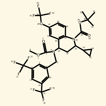 COC(=O)N(Cc1cc(C(F)(F)F)cc(C(F)(F)F)c1)C1CC(C2CC2)N(C(=O)OC(C)(C)C)c2ccc(OC(F)(F)F)cc21